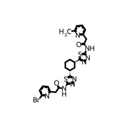 Cc1cccc(CC(=O)Nc2nnc([C@@H]3CCC[C@@H](c4nnc(NC(=O)Cc5cccc(Br)n5)s4)C3)s2)n1